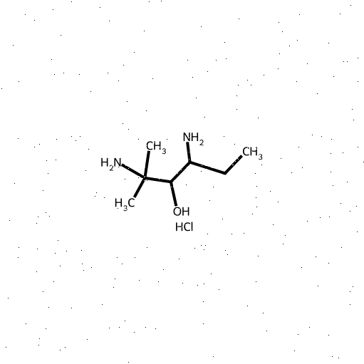 CCC(N)C(O)C(C)(C)N.Cl